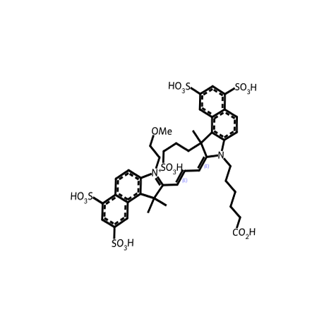 COCC[N+]1=C(/C=C/C=C2/N(CCCCCC(=O)O)c3ccc4c(S(=O)(=O)O)cc(S(=O)(=O)O)cc4c3C2(C)CCCS(=O)(=O)O)C(C)(C)c2c1ccc1c(S(=O)(=O)O)cc(S(=O)(=O)O)cc21